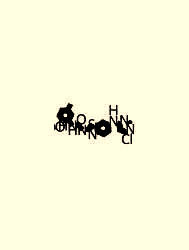 COc1ccc(C)cc1NC(=O)Nc1nc2ccc(Nc3cc(Cl)ncn3)cc2s1